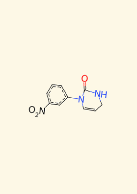 O=C1NCC=CN1c1cccc([N+](=O)[O-])c1